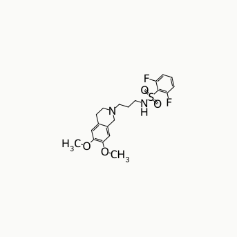 COc1cc2c(cc1OC)CN(CCCNS(=O)(=O)c1c(F)cccc1F)CC2